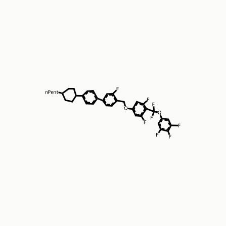 CCCCCC1CCC(c2ccc(-c3ccc(COc4cc(F)c(C(F)(F)Oc5cc(F)c(F)c(F)c5)c(F)c4)c(F)c3)cc2)CC1